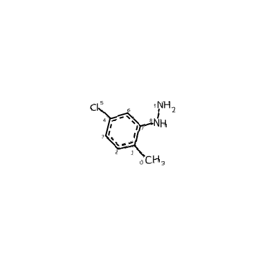 Cc1ccc(Cl)cc1NN